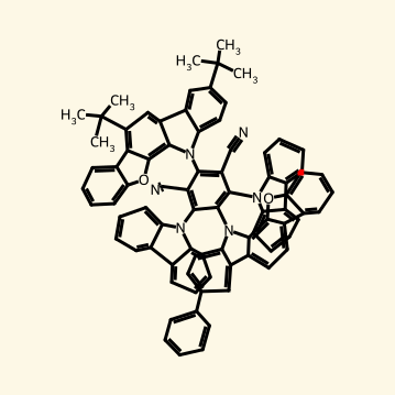 CC(C)(C)c1ccc2c(c1)c1cc(C(C)(C)C)c3c4ccccc4oc3c1n2-c1c(C#N)c(-n2c3ccccc3c3ccccc32)c(-n2c3ccc(-c4ccccc4)cc3c3ccc4c5ccccc5oc4c32)c(-n2c3ccccc3c3ccccc32)c1C#N